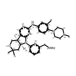 CNCc1cccc(N2c3nc(Nc4ccc(N5CCN(C)CC5)c(C)c4)ncc3[C@]3(C)COC(C)(C)C[C@H]23)n1